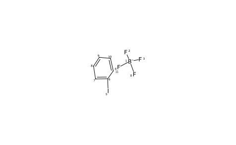 F[B-](F)(F)F.Ic1ccccc1